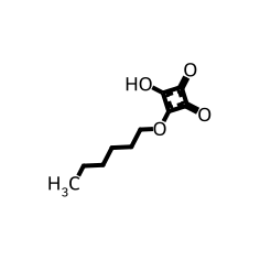 CCCCCCOc1c(O)c(=O)c1=O